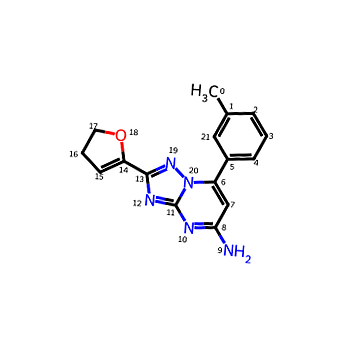 Cc1cccc(-c2cc(N)nc3nc(C4=CCCO4)nn23)c1